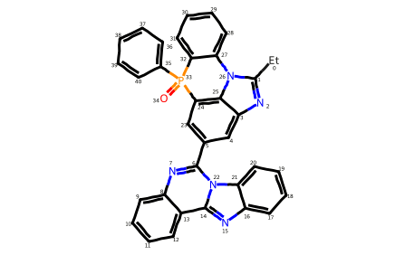 CCc1nc2cc(-c3nc4ccccc4c4nc5ccccc5n34)cc3c2n1-c1ccccc1P3(=O)c1ccccc1